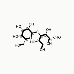 O=C[C@H](O)[C@@H](O)[C@H](O[C@H]1O[C@H](CO)[C@H](O)[C@H](O)[C@H]1O)[C@H](O)CO